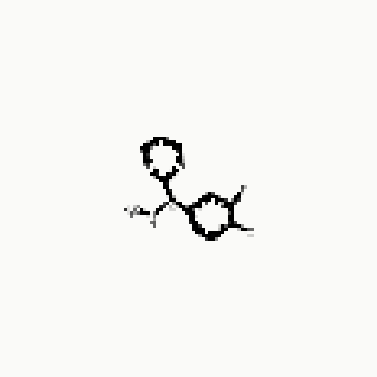 CN[C@H](c1ccc(Cl)c(F)c1)c1ncccn1